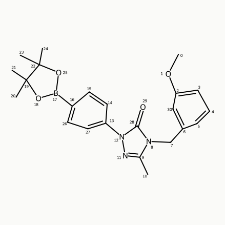 COc1cccc(Cn2c(C)nn(-c3ccc(B4OC(C)(C)C(C)(C)O4)cc3)c2=O)c1